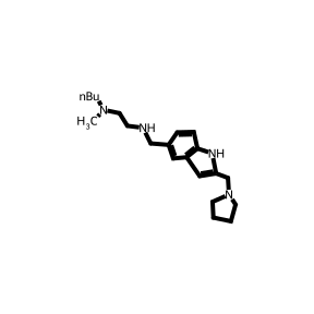 CCCCN(C)CCNCc1ccc2[nH]c(CN3CCCC3)cc2c1